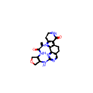 C=CC(=O)NC1COCC1Nc1ncc2c(n1)-c1[nH]c3c(c1CC2)C(=O)NCC3